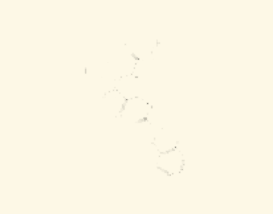 CC(C)[C@H](NC(=O)OCc1ccccc1)C(=O)N(C)[C@@H](CC(=O)OC(C)(C)C)C(=O)O